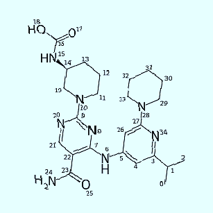 CC(C)c1cc(Nc2nc(N3CCC[C@H](NC(=O)O)C3)ncc2C(N)=O)cc(N2CCCCC2)n1